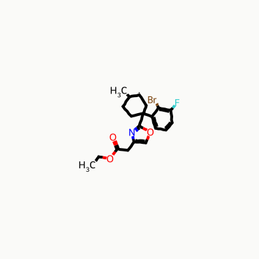 CCOC(=O)Cc1coc(C2(c3cccc(F)c3Br)C[CH]C(C)CC2)n1